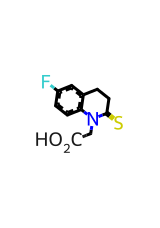 O=C(O)CN1C(=S)CCc2cc(F)ccc21